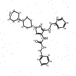 O=C(Nc1cn([C@H]2CC[C@H](N3CCOCC3)CC2)nc1OCc1ccccn1)OCc1ccccc1